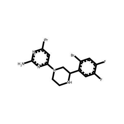 CC(C)c1cc(N2CCNC(c3cc(F)c(F)cc3Br)C2)nc(N)n1